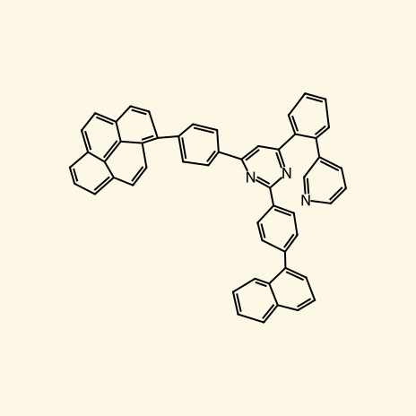 c1cncc(-c2ccccc2-c2cc(-c3ccc(-c4ccc5ccc6cccc7ccc4c5c67)cc3)nc(-c3ccc(-c4cccc5ccccc45)cc3)n2)c1